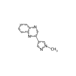 Cn1cc(-c2cnc3c[c]ccc3n2)cn1